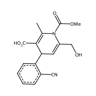 COC(=O)N1C(CO)=CC(c2ccccc2C#N)C(C(=O)O)=C1C